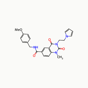 COc1ccc(CNC(=O)c2ccc3c(c2)c(=O)n(CCn2cccc2)c(=O)n3C)cc1